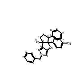 N#Cc1ccc(C23Oc4cp(Cc5ccccc5)nc4C2(O)CCC3c2ccccc2)cc1